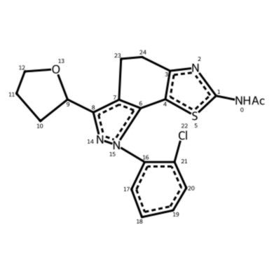 CC(=O)Nc1nc2c(s1)-c1c(c(C3CCCO3)nn1-c1ccccc1Cl)CC2